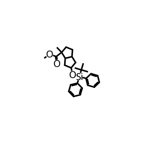 COC(=O)C1(C)CCC2CC(O[Si](c3ccccc3)(c3ccccc3)C(C)(C)C)CC21